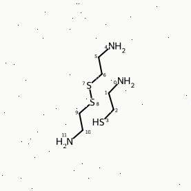 NCCS.NCCSSCCN